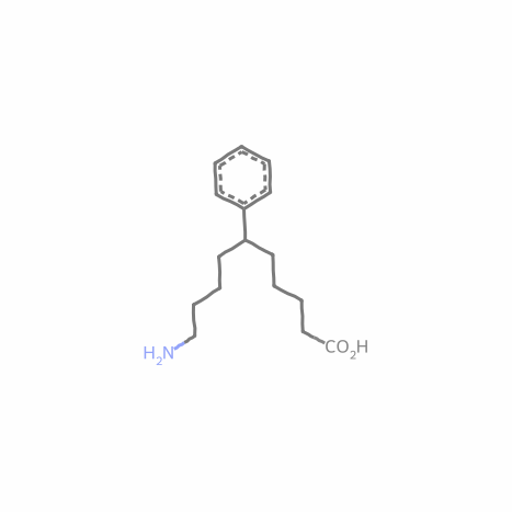 NCCCCC(CCCCC(=O)O)c1ccccc1